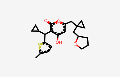 Cc1ccc(C(c2c(O)cc(CC3(CC4CCCO4)CC3)oc2=O)C2CC2)s1